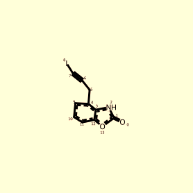 O=c1[nH]c2c(CC#CI)cccc2o1